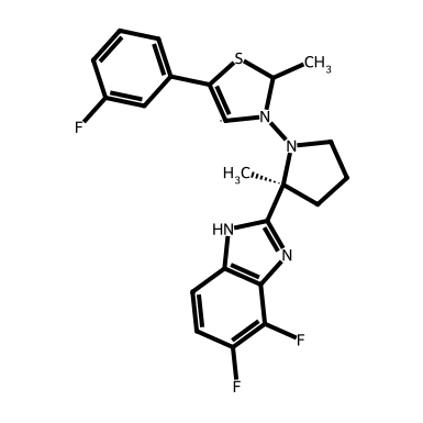 CC1SC(c2cccc(F)c2)=[C]N1N1CCC[C@@]1(C)c1nc2c(F)c(F)ccc2[nH]1